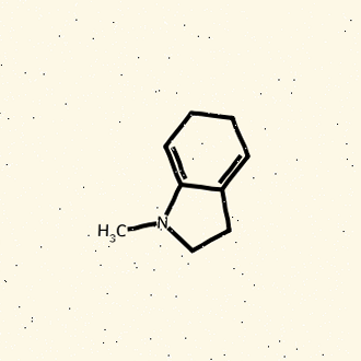 CN1CCC2=CCCC=C21